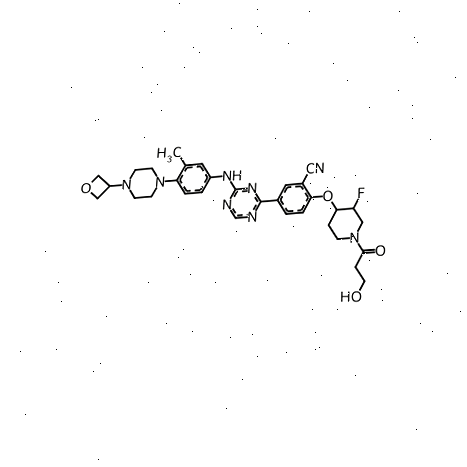 Cc1cc(Nc2ncnc(-c3ccc(OC4CCN(C(=O)CCO)CC4F)c(C#N)c3)n2)ccc1N1CCN(C2COC2)CC1